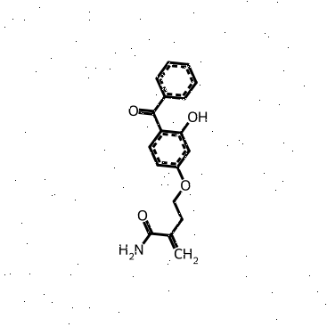 C=C(CCOc1ccc(C(=O)c2ccccc2)c(O)c1)C(N)=O